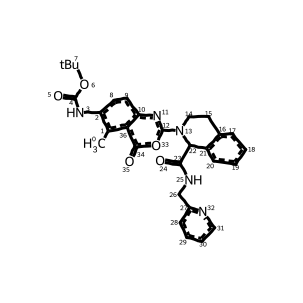 Cc1c(NC(=O)OC(C)(C)C)ccc2nc(N3CCc4ccccc4C3C(=O)NCc3ccccn3)oc(=O)c12